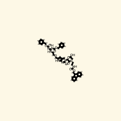 O=C(O)CN(CCNC(=O)OCC1c2ccccc2-c2ccccc21)C(=O)Cn1cc2cc(COCCN/C(=N/C(=O)OCc3ccccc3)NC(=O)OCc3ccccc3)[nH]c2nc1=O